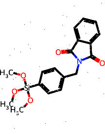 CO[Si](OC)(OC)c1ccc(CN2C(=O)c3ccccc3C2=O)cc1